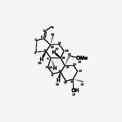 C/C=C1/CC[C@H]2[C@@H]3CC[C@H]4C[C@](C)(O)CC[C@]4(COC)[C@H]3CC[C@]12C